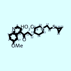 COc1ccc2nccc(C(=O)CC[C@H]3CCN(CCSC4CC4)C[C@H]3C(=O)O)c2c1